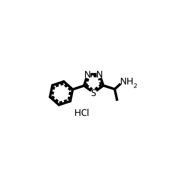 CC(N)c1nnc(-c2ccccc2)s1.Cl